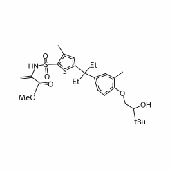 C=C(NS(=O)(=O)c1sc(C(CC)(CC)c2ccc(OCC(O)C(C)(C)C)c(C)c2)cc1C)C(=O)OC